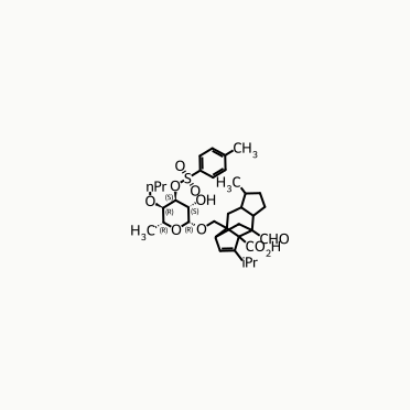 CCCO[C@H]1[C@@H](OS(=O)(=O)c2ccc(C)cc2)[C@H](O)[C@H](OCC23CC4C(C)CCC4C4(C=O)CC2C=C(C(C)C)C43C(=O)O)O[C@@H]1C